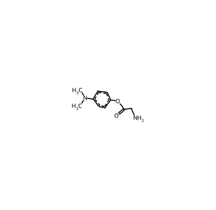 CN(C)c1ccc(OC(=O)CN)cc1